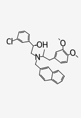 COc1ccc(CC(C)N(Cc2ccc3ccccc3c2)C[C@H](O)c2cccc(Cl)c2)cc1OC